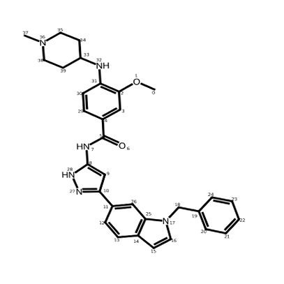 COc1cc(C(=O)Nc2cc(-c3ccc4ccn(Cc5ccccc5)c4c3)n[nH]2)ccc1NC1CCN(C)CC1